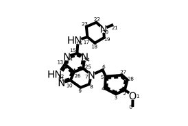 COc1ccc(CN2CCc3n[nH]c4nc(NC5CCN(C)CC5)nc2c34)cc1